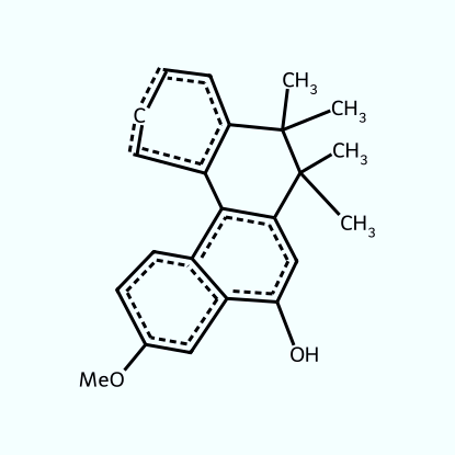 COc1ccc2c3c(cc(O)c2c1)C(C)(C)C(C)(C)c1ccccc1-3